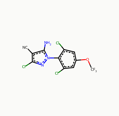 N#Cc1c(Cl)nn(-c2c(Cl)cc(OC(F)(F)F)cc2Cl)c1N